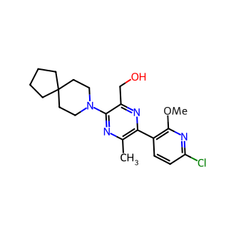 COc1nc(Cl)ccc1-c1nc(CO)c(N2CCC3(CCCC3)CC2)nc1C